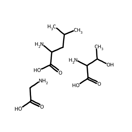 CC(C)CC(N)C(=O)O.CC(O)C(N)C(=O)O.NCC(=O)O